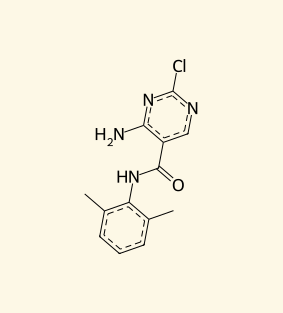 Cc1cccc(C)c1NC(=O)c1cnc(Cl)nc1N